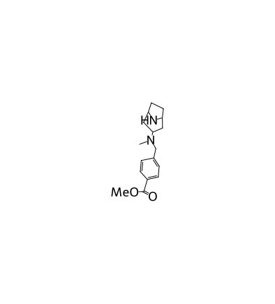 COC(=O)c1ccc(CN(C)C2CC3CCC(C2)N3)cc1